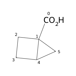 O=C(O)C12CCC1C2